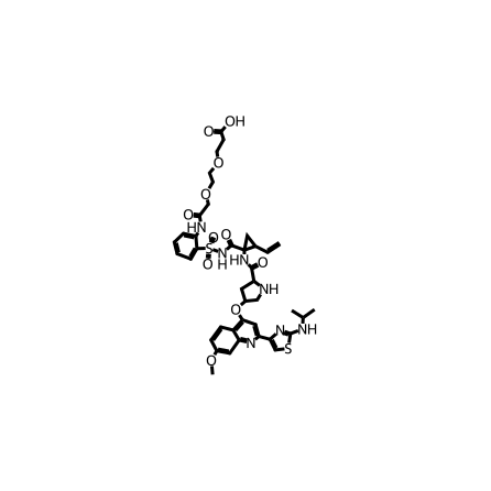 C=CC1CC1(NC(=O)C1CC(Oc2cc(-c3csc(NC(C)C)n3)nc3cc(OC)ccc23)CN1)C(=O)NS(=O)(=O)c1ccccc1NC(=O)COCCOCCC(=O)O